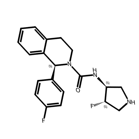 O=C(N[C@H]1CNC[C@@H]1F)N1CCc2ccccc2[C@@H]1c1ccc(F)cc1